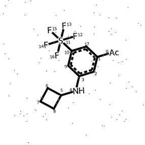 CC(=O)c1cc(NC2CCC2)cc(S(F)(F)(F)(F)F)c1